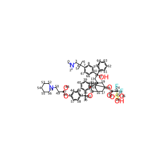 CN(C)CC(C)(C)c1ccc(C(O)(CC23CC4CC(OC(=O)C(F)(F)S(=O)(=O)O)(CC(C2)C4OC(C)(c2ccccc2)c2ccc(OC(=O)CCN4CCCCC4)cc2)C3)c2ccccc2)cc1